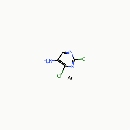 Nc1cnc(Cl)nc1Cl.[Ar]